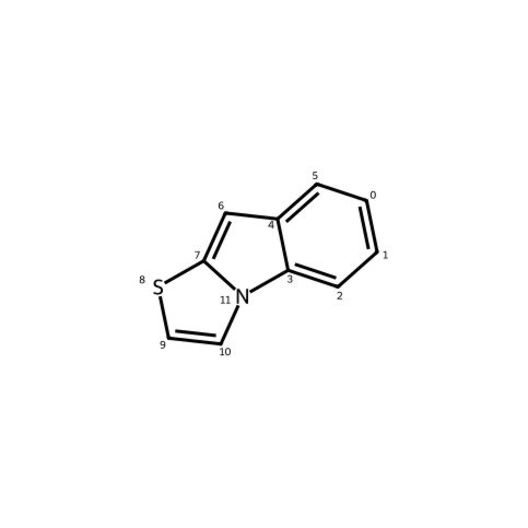 c1ccc2c(c1)cc1sccn12